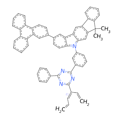 C=C/C=C(\C=C)c1nc(-c2ccccc2)nc(-c2cccc(-n3c4ccc(-c5ccc6c7ccccc7c7ccccc7c6c5)cc4c4cc5c(cc43)C(C)(C)c3ccccc3-5)c2)n1